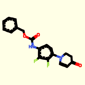 O=C1C=CN(c2ccc(NC(=O)OCc3ccccc3)c(F)c2F)CC1